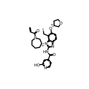 C=CC(=O)N1CCCC[C@@H](n2c(NC(=O)c3ccnc(O)c3)nc3ccc(O[C@@H]4CCOC4)c(CI)c32)C1